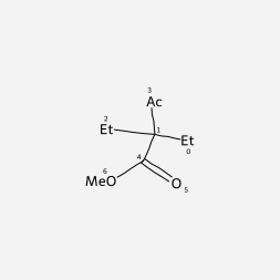 CCC(CC)(C(C)=O)C(=O)OC